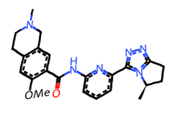 COc1cc2c(cc1C(=O)Nc1cccc(-c3nnc4n3[C@H](C)CC4)n1)CN(C)CC2